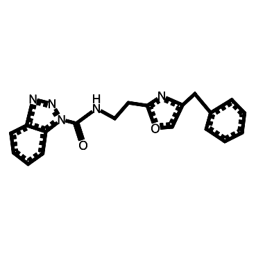 O=C(NCCc1nc(Cc2ccccc2)co1)n1nnc2ccccc21